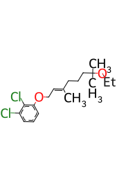 CCOC(C)(C)CCC/C(C)=C/COc1cccc(Cl)c1Cl